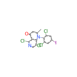 Cc1cc(=O)c2c(Cl)ncc(Cl)c2n1-c1c(Cl)cc(I)cc1Cl